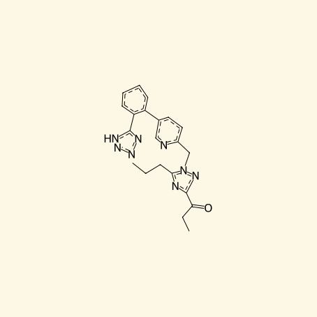 CCCc1nc(C(=O)CC)nn1Cc1ccc(-c2ccccc2-c2nnn[nH]2)cn1